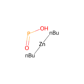 CCC[CH2][Zn][CH2]CCC.O=PO